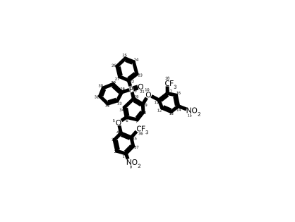 O=[N+]([O-])c1ccc(Oc2ccc(Oc3ccc([N+](=O)[O-])cc3C(F)(F)F)c(P(=O)(c3ccccc3)c3ccccc3)c2)c(C(F)(F)F)c1